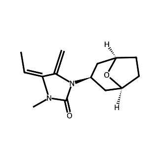 C=c1/c(=C\C)n(C)c(=O)n1[C@H]1C[C@H]2CC[C@@H](C1)O2